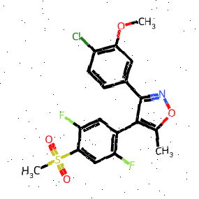 COc1cc(-c2noc(C)c2-c2cc(F)c(S(C)(=O)=O)cc2F)ccc1Cl